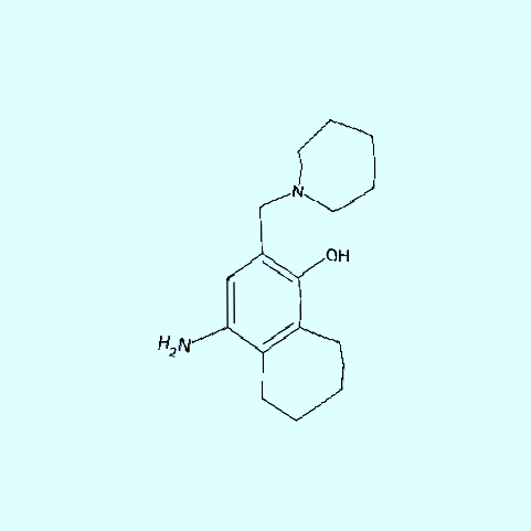 Nc1cc(CN2CCCCC2)c(O)c2c1CCCC2